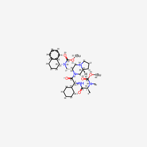 C[C@@H](C(=O)N[C@H](C(=O)N1C[C@H]2CCCN2C[C@H]1CN(C(=O)OC(C)(C)C)[C@@H]1CCCc2ccccc21)C1CCCCC1)N(C)C(=O)OC(C)(C)C